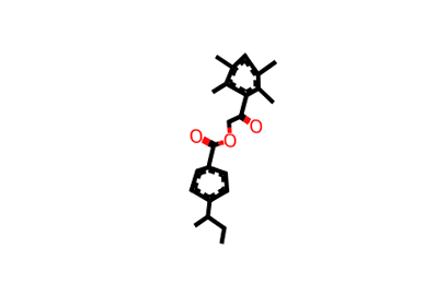 CCC(C)c1ccc(C(=O)OCC(=O)c2c(C)c(C)cc(C)c2C)cc1